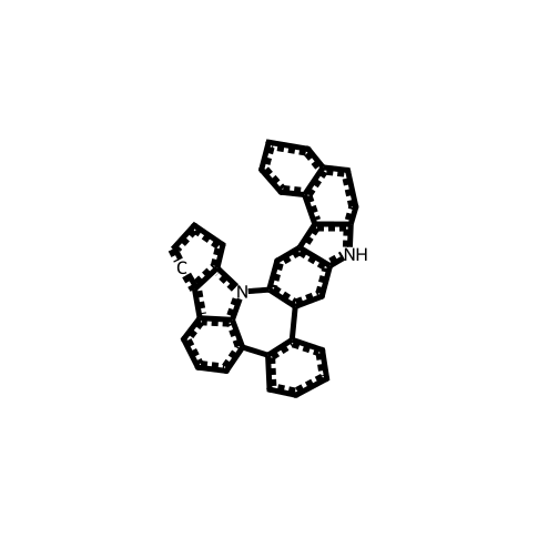 c1ccc2c(c1)-c1cc3[nH]c4ccc5ccccc5c4c3cc1-n1c3ccccc3c3cccc-2c31